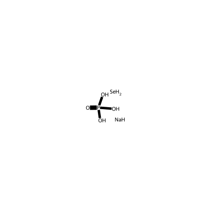 O=P(O)(O)O.[NaH].[SeH2]